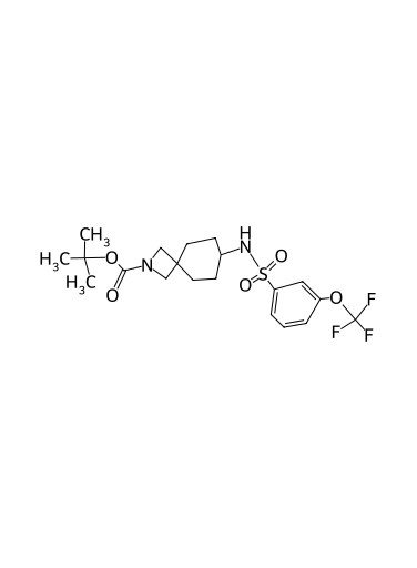 CC(C)(C)OC(=O)N1CC2(CCC(NS(=O)(=O)c3cccc(OC(F)(F)F)c3)CC2)C1